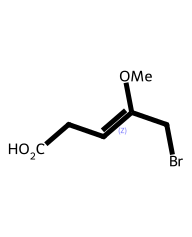 CO/C(=C\CC(=O)O)CBr